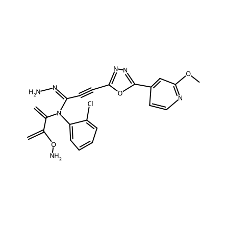 C=C(ON)C(=C)N(/C(C#Cc1nnc(-c2ccnc(OC)c2)o1)=N\N)c1ccccc1Cl